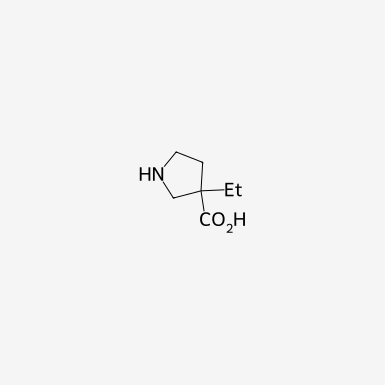 CCC1(C(=O)O)CCNC1